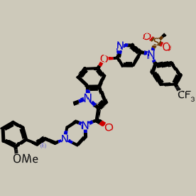 COc1ccccc1/C=C/CN1CCN(C(=O)c2cc3cc(Oc4ccc(N(c5ccc(C(F)(F)F)cc5)S(C)(=O)=O)cn4)ccc3n2C)CC1